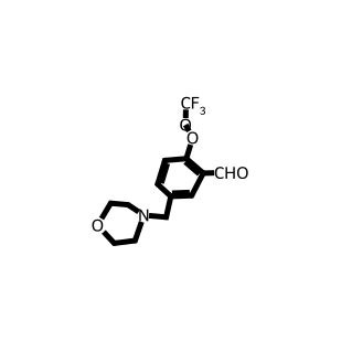 O=Cc1cc(CN2CCOCC2)ccc1OOC(F)(F)F